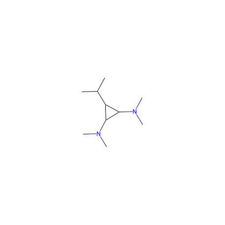 CC(C)C1C(N(C)C)C1N(C)C